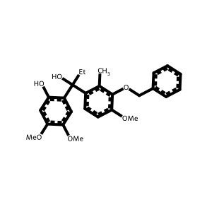 CCC(O)(c1cc(OC)c(OC)cc1O)c1ccc(OC)c(OCc2ccccc2)c1C